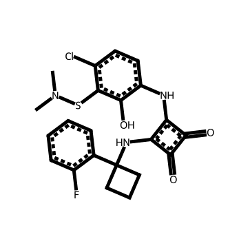 CN(C)Sc1c(Cl)ccc(Nc2c(NC3(c4ccccc4F)CCC3)c(=O)c2=O)c1O